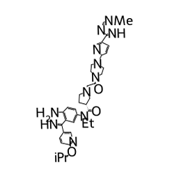 CCN(C(=O)[C@@H]1CCN(CC(=O)N2CCN(c3ccc(C(=N)/N=C\NC)cn3)CC2)C1)c1ccc(N)c(C(=N)c2ccc(OC(C)C)nc2)c1